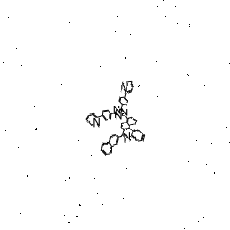 c1ccc(-c2ccc(-c3nc(-c4ccc(-c5ccccn5)cc4)nc(-c4cccc5c4ccc4c(-c6ccc7ccccc7c6)nc6ccccc6c45)n3)cc2)nc1